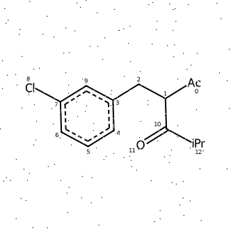 CC(=O)C(Cc1cccc(Cl)c1)C(=O)C(C)C